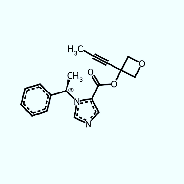 CC#CC1(OC(=O)c2cncn2[C@H](C)c2ccccc2)COC1